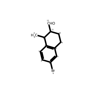 CC1c2ccc(Br)cc2CCC1C=O